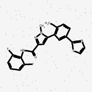 Cc1ccc(-c2nccs2)cc1-c1cc(C(=O)Nc2c(F)cccc2F)nn1C